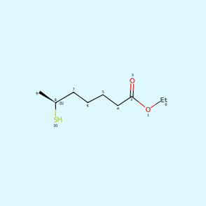 CCOC(=O)CCCC[C@H](C)S